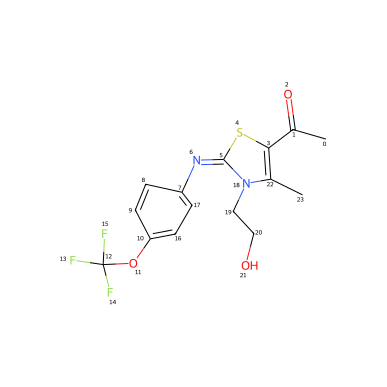 CC(=O)c1sc(=Nc2ccc(OC(F)(F)F)cc2)n(CCO)c1C